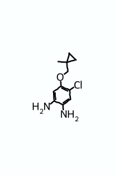 CC1(COc2cc(N)c(N)cc2Cl)CC1